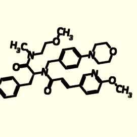 COCCN(C)C(=O)[C@H](Cc1ccccc1)N(Cc1ccc(N2CCOCC2)cc1)C(=O)C=Cc1ccc(OC)nc1